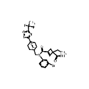 CCC1(C(=O)O)C=C(C(=O)N(CC23CCC(c4noc(C(C)(F)F)n4)(CC2)CC3)c2cccc(Br)c2)C1